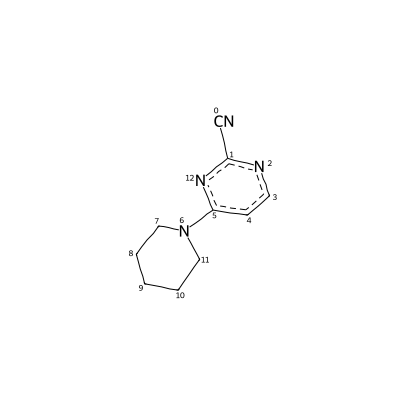 N#Cc1nccc(N2CCCCC2)n1